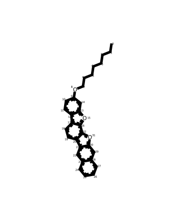 CCCCCCCCOc1ccc2c(c1)oc1c2ccc2c3cc4ccccc4cc3oc21